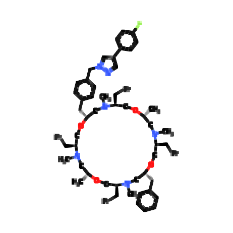 CC(C)C[C@H]1CO[C@H](C)CN(C)[C@@H](CC(C)C)CO[C@H](Cc2ccccc2)CN(C)[C@@H](CC(C)C)CO[C@H](C)CN(C)[C@@H](CC(C)C)CO[C@H](Cc2ccc(Cn3cc(-c4ccc(F)cc4)cn3)cc2)CN1C